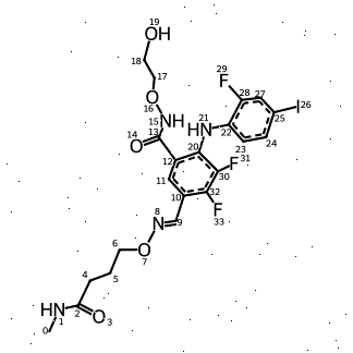 CNC(=O)CCCON=Cc1cc(C(=O)NOCCO)c(Nc2ccc(I)cc2F)c(F)c1F